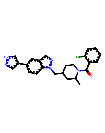 CC1CC(Cn2ncc3cc(-c4cn[nH]c4)ccc32)CCN1C(=O)c1ccccc1F